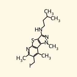 Cc1nc2sc3c(NCCC(C)C)nn(C)c3c2c(C)c1CI